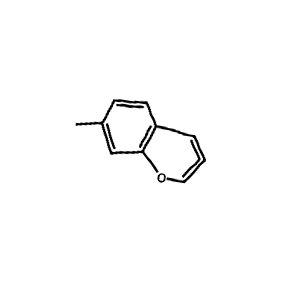 Cc1ccc2c(c1)OC=C=C2